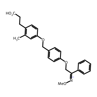 CO/N=C(\COc1ccc(COc2ccc(CCC(=O)O)c(C)c2)cc1)c1ccccc1